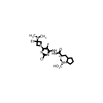 CCC1(N(C)C)CN(c2nc(Cl)nc(NNC(=O)[C@@H](CNC(=O)O)CC3CCCC3)c2F)C1